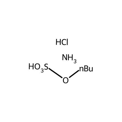 CCCCOS(=O)(=O)O.Cl.N